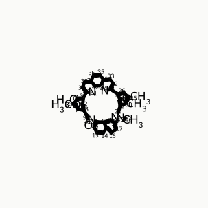 COc1c2cc(C)cc1c1nc3c(ccc4ccc5c(nc(c6cc(C)cc(c6OC)c6ccc7ccc8ccc2nc8c7n6)n5C)c43)o1